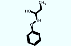 CCC(O)NOc1ccccc1